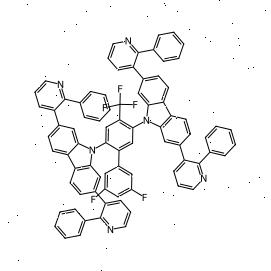 Fc1cc(F)cc(-c2cc(-n3c4cc(-c5cccnc5-c5ccccc5)ccc4c4ccc(-c5cccnc5-c5ccccc5)cc43)c(C(F)(F)F)cc2-n2c3cc(-c4cccnc4-c4ccccc4)ccc3c3ccc(-c4cccnc4-c4ccccc4)cc32)c1